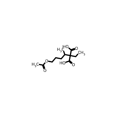 CCC(C(=O)O)(C(=O)O)C(C)CCCOC(C)=O